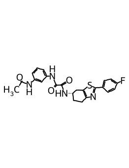 CC(=O)Nc1cccc(NC(=O)C(=O)N[C@H]2CCc3nc(-c4ccc(F)cc4)sc3C2)c1